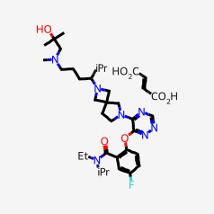 CCN(C(=O)c1cc(F)ccc1Oc1nncnc1N1CCC2(C1)CN(C(CCCN(C)CC(C)(C)O)C(C)C)C2)C(C)C.O=C(O)/C=C/C(=O)O